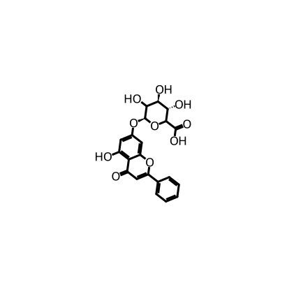 O=C(O)C1O[C@@H](Oc2cc(O)c3c(=O)cc(-c4ccccc4)oc3c2)C(O)[C@@H](O)[C@@H]1O